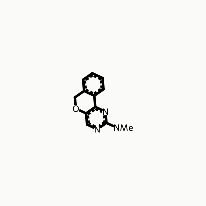 CNc1ncc2c(n1)-c1ccccc1CO2